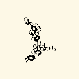 CCOc1ccn(-c2ccc(F)cc2)c(=O)c1C(=O)Nc1ccc(Oc2ccnc3cc(OC4CCOC4)c4c(c23)OCCO4)c(F)c1